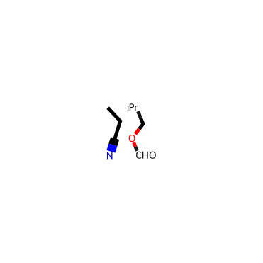 CC(C)COC=O.CCC#N